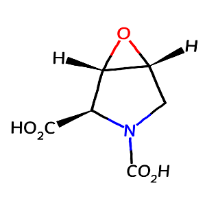 O=C(O)[C@H]1[C@@H]2O[C@@H]2CN1C(=O)O